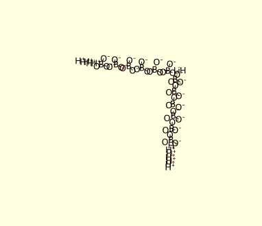 [H+].[H+].[H+].[H+].[H+].[H+].[H+].[H+].[H+].[H+].[H+].[H+].[LiH].[O-]B([O-])[O-].[O-]B([O-])[O-].[O-]B([O-])[O-].[O-]B([O-])[O-].[O-]B([O-])[O-].[O-]B([O-])[O-].[O-]B([O-])[O-].[O-]B([O-])[O-].[O-]B([O-])[O-].[O-]B([O-])[O-].[O-]B([O-])[O-].[O-]B([O-])[O-]